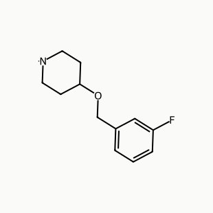 Fc1cccc(COC2CC[N]CC2)c1